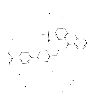 O=[N+]([O-])c1ccc(N2CCN(CCCN3c4ccccc4Sc4ccc(C(F)(F)F)cc43)CC2)cc1